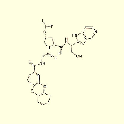 O=C(NCC(=O)N1C[C@H](OC(F)F)C[C@H]1C(=O)N[C@H](CO)c1cc2cnccc2[nH]1)c1ccc2c(c1)OC1=C(C=CCC1)S2